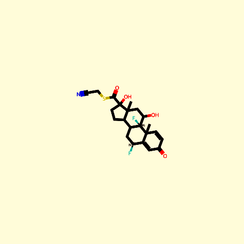 CC12CC(O)[C@@]3(F)C(C[C@H](F)C4=CC(=O)C=CC43C)C1CCC2(O)C(=O)SCC#N